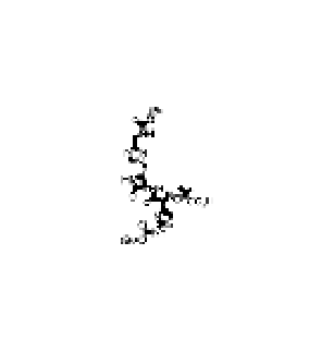 CC(C)(C)OC(=O)NCc1ncn(C[C@H]2NC(=O)[C@H]2NC(=O)C(=NOC(C)(C)C(=O)O)c2csc(NC(=O)OC(C)(C)C)n2)n1